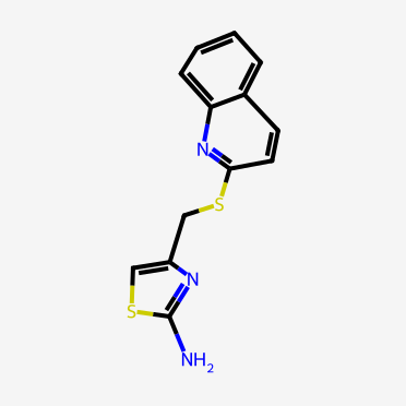 Nc1nc(CSc2ccc3ccccc3n2)cs1